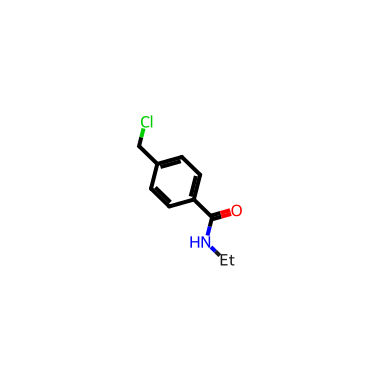 CCNC(=O)c1ccc(CCl)cc1